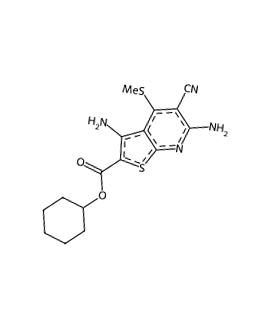 CSc1c(C#N)c(N)nc2sc(C(=O)OC3CCCCC3)c(N)c12